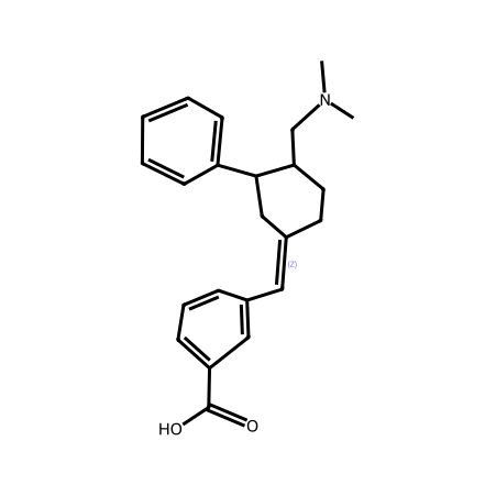 CN(C)CC1CC/C(=C/c2cccc(C(=O)O)c2)CC1c1ccccc1